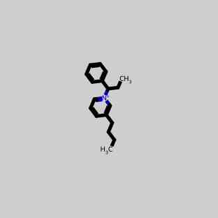 CCCCc1ccc[n+](C(CC)c2ccccc2)c1